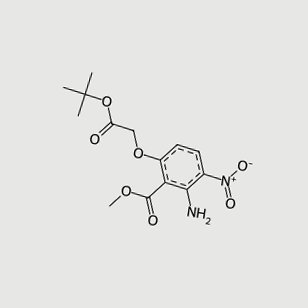 COC(=O)c1c(OCC(=O)OC(C)(C)C)ccc([N+](=O)[O-])c1N